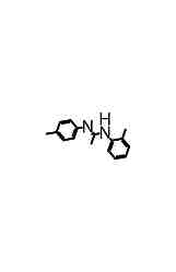 C/C(=N\c1ccc(C)cc1)Nc1ccccc1C